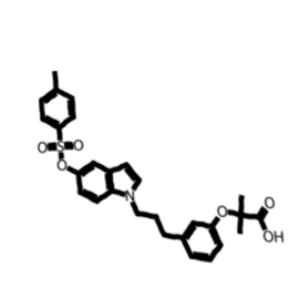 Cc1ccc(S(=O)(=O)Oc2ccc3c(ccn3CCCc3cccc(OC(C)(C)C(=O)O)c3)c2)cc1